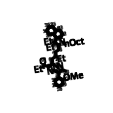 CCCCCCCCN1/C(=C/C=C(/C=c2/c(C(=O)CC)nc3c(-c4ccccc4OC)c(C)nn23)CC)C(CC)(CC)c2c1ccc1ccccc21